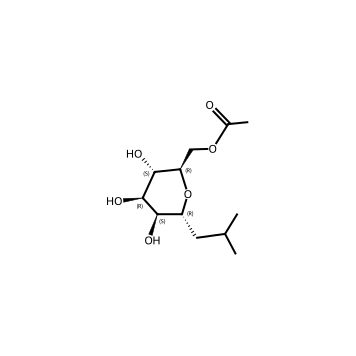 CC(=O)OC[C@H]1O[C@H](CC(C)C)[C@@H](O)[C@@H](O)[C@@H]1O